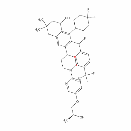 C[C@H](O)COc1cnc(N2CCC(c3nc4c(c(C5CCC(F)(F)CC5)c3C(F)c3ccc(C(F)(F)F)cc3)C(O)CC(C)(C)C4)CC2)nc1